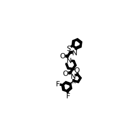 O=C(c1nc2ccccc2s1)N1CCC2(CC1)OC1CC[C@@H](c3cc(F)cc(F)c3)N1C2=O